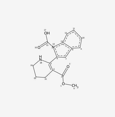 COC(=O)C1=C(c2cc3ccccc3n2C(=O)O)NCCC1